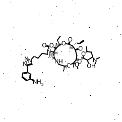 C=CC[C@@H]1C(=O)C[C@@H](O[C@@H]2OC(C)CC(N(C)C)C2O)[C@](C)(OC)C[C@@H](C)CN[C@H](C)[C@H]2N(CCCCn3cc(-c4cccc(N)c4)nn3)C(=O)O[C@]2(C)[C@@H](CC)OC1=O